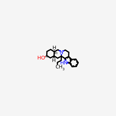 CCCC12C[C@@H]3C[C@H](O)CC[C@H]3CN1CCc1c2[nH]c2ccccc12